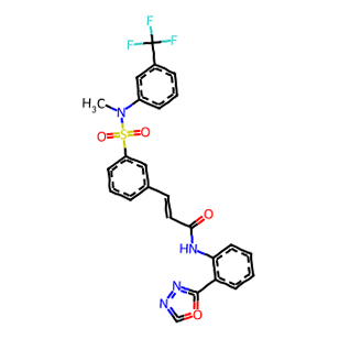 CN(c1cccc(C(F)(F)F)c1)S(=O)(=O)c1cccc(/C=C/C(=O)Nc2ccccc2-c2nnco2)c1